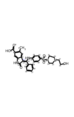 Cc1cc2c(cc1C(=O)O)NC(=O)/C2=C(/Nc1ccc(S(=O)(=O)N2CCN(CCO)CC2)cc1)c1ccccc1